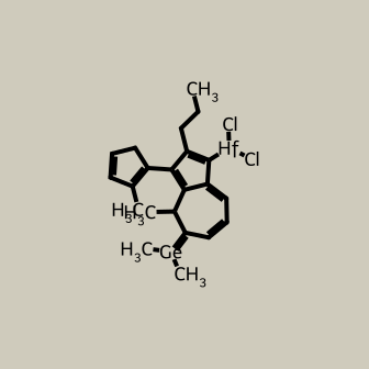 CCCC1=[C]([Hf]([Cl])[Cl])C2=CC=C[C](=[Ge]([CH3])[CH3])C(C)C2=C1C1=C(C)C=CC1